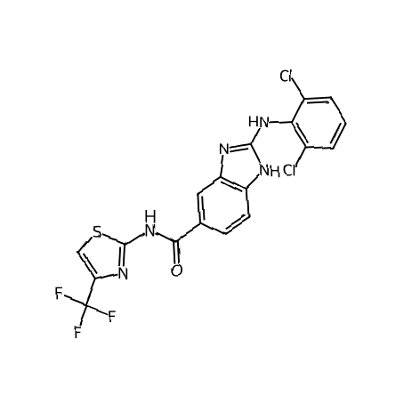 O=C(Nc1nc(C(F)(F)F)cs1)c1ccc2[nH]c(Nc3c(Cl)cccc3Cl)nc2c1